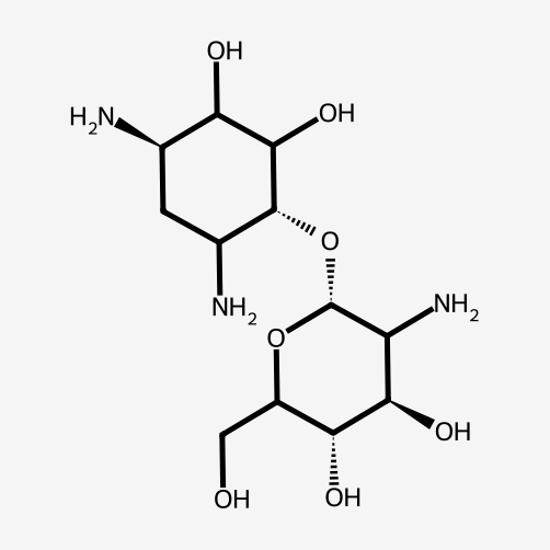 NC1C[C@@H](N)C(O)C(O)[C@@H]1O[C@H]1OC(CO)[C@@H](O)[C@H](O)C1N